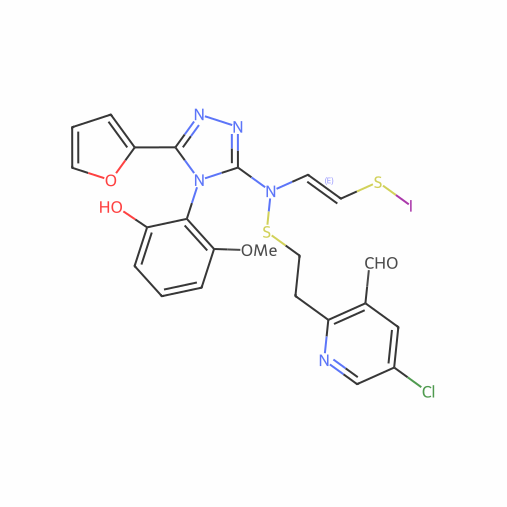 COc1cccc(O)c1-n1c(-c2ccco2)nnc1N(/C=C/SI)SCCc1ncc(Cl)cc1C=O